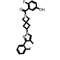 Cc1cn(C2CC3(C2)CN(C(=O)c2cc(O)ccc2F)C3)nc1-c1ccccc1F